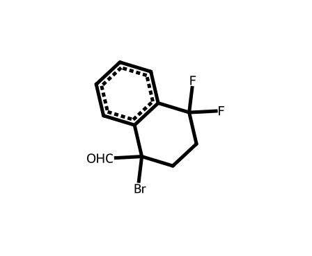 O=CC1(Br)CCC(F)(F)c2ccccc21